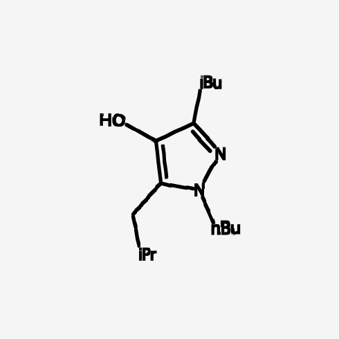 CCCCn1nc(C(C)CC)c(O)c1CC(C)C